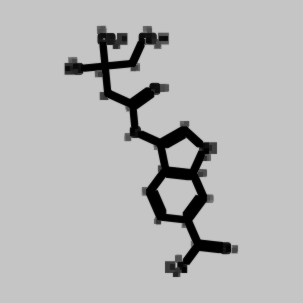 NC(=O)c1ccc2c(OC(=O)CC(O)(CC(=O)O)C(=O)O)c[nH]c2c1